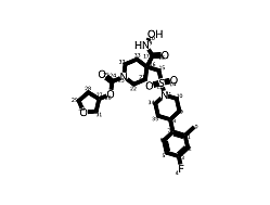 Cc1cc(F)ccc1C1CCN(S(=O)(=O)CC2(C(=O)NO)CCN(C(=O)OC3CCOC3)CC2)CC1